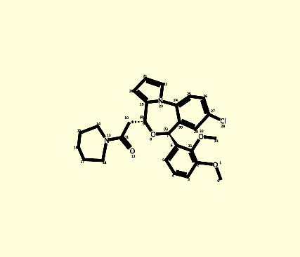 COc1cccc([C@H]2O[C@H](CC(=O)N3CCCCC3)c3cccn3-c3ccc(Cl)cc32)c1OC